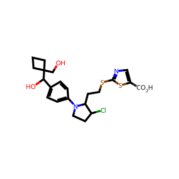 O=C(O)c1cnc(SCCC2C(Cl)CCN2c2ccc(C(O)C3(CO)CCC3)cc2)s1